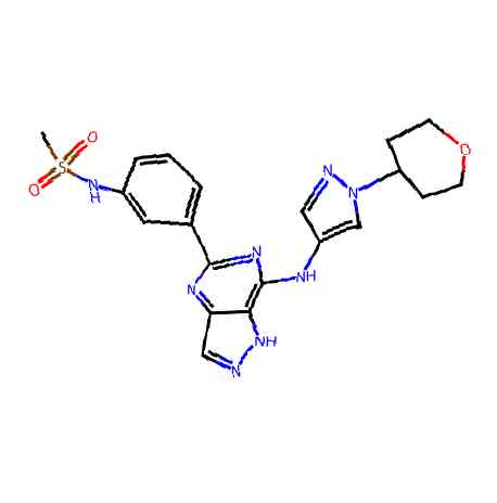 CS(=O)(=O)Nc1cccc(-c2nc(Nc3cnn(C4CCOCC4)c3)c3[nH]ncc3n2)c1